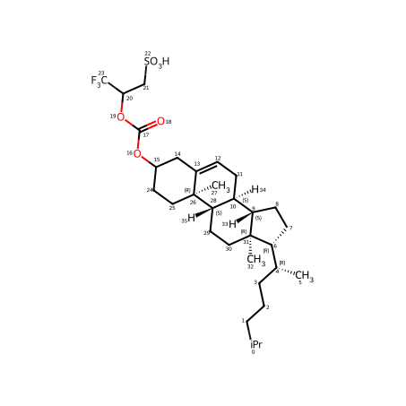 CC(C)CCC[C@@H](C)[C@H]1CC[C@H]2[C@@H]3CC=C4CC(OC(=O)OC(CS(=O)(=O)O)C(F)(F)F)CC[C@]4(C)[C@H]3CC[C@]12C